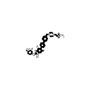 CS(=O)(=O)CCN1CCN(Cc2ccc(-c3ccc(-c4c(F)cc5[nH]c(O[C@H]6CC[C@H](CC(=O)O)CC6)nc5c4F)cc3)cc2)CC1